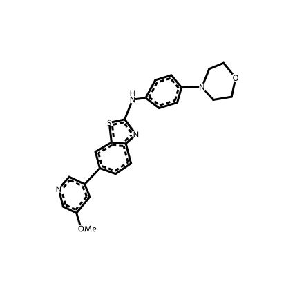 COc1cncc(-c2ccc3nc(Nc4ccc(N5CCOCC5)cc4)sc3c2)c1